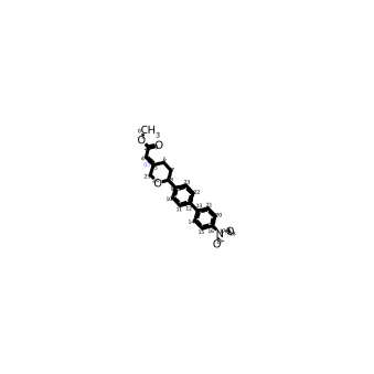 COC(=O)/C=C1\CCC(c2ccc(-c3ccc([N+](=O)[O-])cc3)cc2)OC1